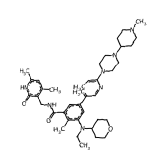 C=C(/C=N\C(=C/C)N1CCN(C2CCN(C)CC2)CC1)c1cc(C(=O)NCc2c(C)cc(C)[nH]c2=O)c(C)c(N(CC)C2CCOCC2)c1